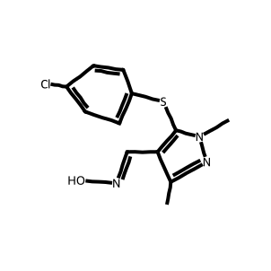 Cc1nn(C)c(Sc2ccc(Cl)cc2)c1/C=N/O